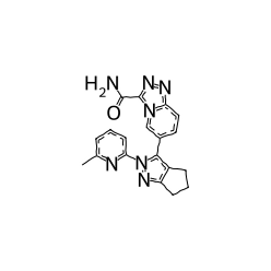 Cc1cccc(-n2nc3c(c2-c2ccc4nnc(C(N)=O)n4c2)CCC3)n1